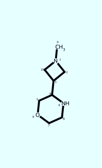 CN1CC(C2COCCN2)C1